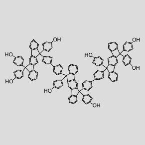 Oc1ccc(C2(c3ccc(O)cc3)c3ccccc3-c3cc4c(cc32)-c2ccccc2C4(c2ccc(O)cc2)c2ccc(-c3ccc(C4(c5ccc(O)cc5)c5ccccc5-c5cc6c(cc54)-c4ccccc4C6(c4ccc(O)cc4)c4ccc(-c5ccc(C6(c7ccc(O)cc7)c7ccccc7-c7cc8c(cc76)-c6ccccc6C8(c6ccc(O)cc6)c6ccc(O)cc6)cc5)cc4)cc3)cc2)cc1